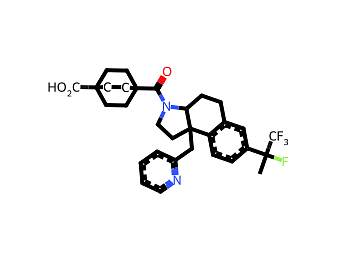 CC(F)(c1ccc2c(c1)CCC1N(C(=O)C34CCC(C(=O)O)(CC3)CC4)CCC21Cc1ccccn1)C(F)(F)F